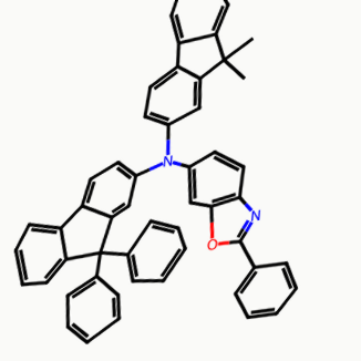 CC1(C)c2ccccc2-c2ccc(N(c3ccc4c(c3)C(c3ccccc3)(c3ccccc3)c3ccccc3-4)c3ccc4nc(-c5ccccc5)oc4c3)cc21